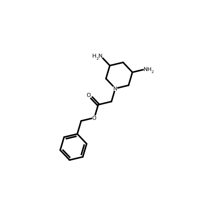 NC1CC(N)CN(CC(=O)OCc2ccccc2)C1